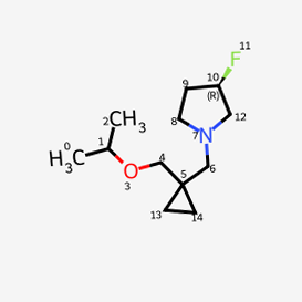 CC(C)OCC1(CN2CC[C@@H](F)C2)CC1